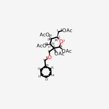 CC(=O)OC[C@H]1OC(OC(C)=O)[C@@](COCc2ccccc2)(OC(C)=O)[C@@H](OC(C)=O)[C@@H]1OC(C)=O